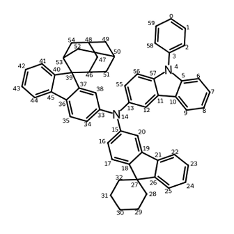 c1ccc(-n2c3ccccc3c3cc(N(c4ccc5c(c4)-c4ccccc4C54CCCCC4)c4ccc5c(c4)C4(c6ccccc6-5)C5CC6CC(C5)CC4C6)ccc32)cc1